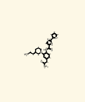 NCCC1CCCN(c2cc(CC(N)=O)ccc2NC(=O)c2csc(-c3cccs3)n2)C1